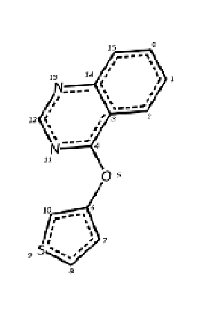 c1ccc2c(Oc3ccsc3)ncnc2c1